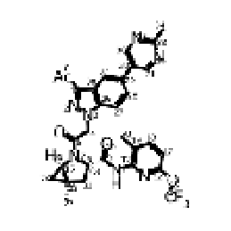 CC(=O)c1nn(CC(=O)N2[C@H](C(=O)Nc3nc(OC(F)(F)F)ccc3C)C[C@@]3(C)C[C@@H]23)c2ccc(-c3cnc(C)nc3)cc12